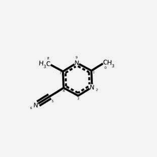 Cc1ncc(C#N)c(C)n1